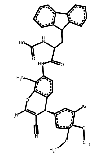 COc1cc([C@H]2C(C#N)=C(N)Oc3c2ccc(NC(=O)C(CC2c4ccccc4-c4ccccc42)NC(=O)O)c3N)cc(Br)c1OC